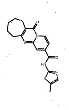 Cc1cnc(NC(=O)c2ccn3c(=O)c4c(nc3c2)CCCCC4)s1